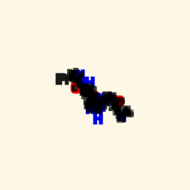 CC(C)c1ccnc(NC(=O)c2ccc(Oc3ccnc4[nH]nc(N[C@@H]5CCN(C(=O)/C=C/CN(C)C6CC6)C5)c34)cc2)c1